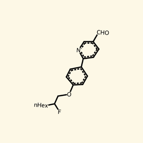 CCCCCCC(F)COc1ccc(-c2ccc(C=O)cn2)cc1